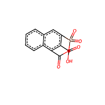 O=C(O)c1c2cc3ccccc3c1C(=O)OS2(=O)=O